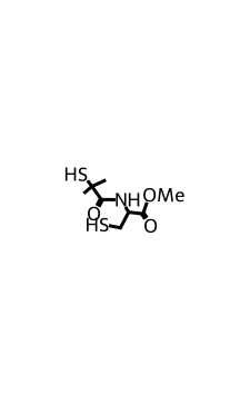 COC(=O)C(CS)NC(=O)C(C)(C)S